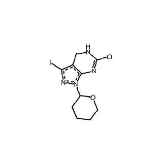 ClC1=Nc2c(c(I)nn2C2CCCCO2)CN1